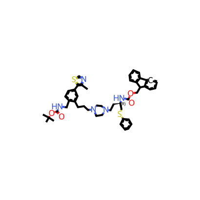 Cc1ncsc1-c1ccc(CNC(=O)OC(C)(C)C)c(CCCN2CCN(CC[C@H](CSc3ccccc3)NC(=O)OCC3c4ccccc4-c4ccccc43)CC2)c1